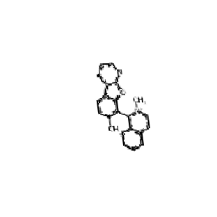 Cc1ccc2c(oc3ncccc32)c1-c1c2ccccc2cc[n+]1C